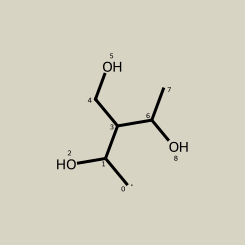 [CH2]C(O)C(CO)C(C)O